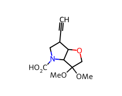 C#CC1CN(C(=O)O)C2C1OCC2(OC)OC